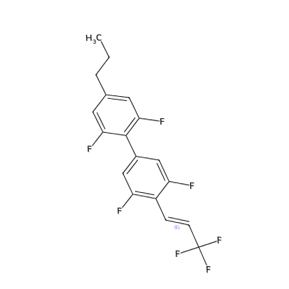 CCCc1cc(F)c(-c2cc(F)c(/C=C/C(F)(F)F)c(F)c2)c(F)c1